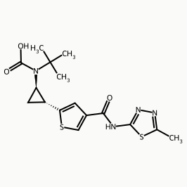 Cc1nnc(NC(=O)c2csc([C@@H]3C[C@H]3N(C(=O)O)C(C)(C)C)c2)s1